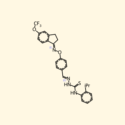 CC(C)c1ccccc1NC(=S)N/N=C/c1ccc(O/N=C2\CCc3cc(OC(F)(F)F)ccc32)cc1